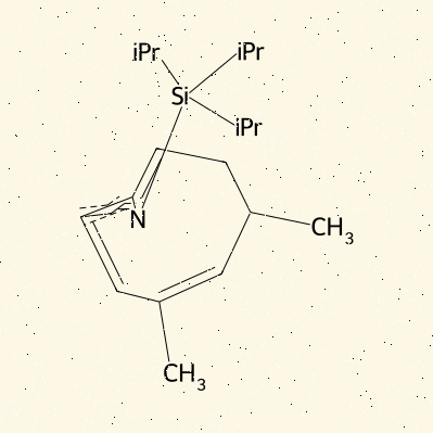 CC1=C/C(C)C/C=c2/c(ccn2[Si](C(C)C)(C(C)C)C(C)C)=C\1